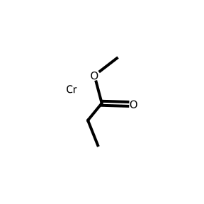 CCC(=O)OC.[Cr]